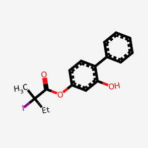 CCC(C)(I)C(=O)Oc1ccc(-c2ccccc2)c(O)c1